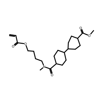 C=CC(=O)OCCCCN(C)C(=O)C1CCC(C2CCC(C(=O)OC)CC2)CC1